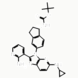 CC(C)(C)OC(=O)N[C@H]1CCc2cc(-n3c(-c4cccnc4N)nc4ccc(NC5CC5)nc43)ccc21